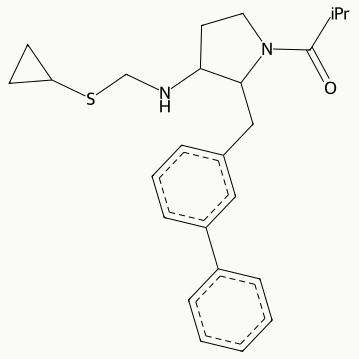 CC(C)C(=O)N1CCC(NCSC2CC2)C1Cc1cccc(-c2ccccc2)c1